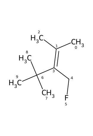 CC(C)=C(CF)C(C)(C)C